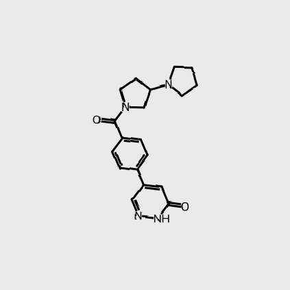 O=C(c1ccc(-c2cn[nH]c(=O)c2)cc1)N1CCC(N2CCCC2)C1